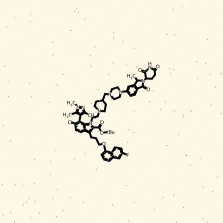 Cc1nn(C)c(C)c1-c1c(Cl)ccc2c(CCCOc3cccc4cc(F)ccc34)c(C(=O)OC(C)(C)C)n(CCN3CCC(CN4CCN(c5ccc6c(c5)C(C)N(C5CCC(=O)NC5=O)C6=O)CC4)CC3)c12